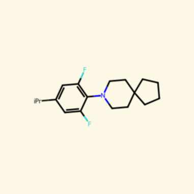 CC(C)c1cc(F)c(N2CCC3(CCCC3)CC2)c(F)c1